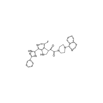 O=C(C(=O)N1CCN(c2nccc3ccccc23)CC1)C1CNc2c(-c3nc(-c4ccccc4)n[nH]3)ncc(F)c21